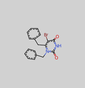 O=c1[nH]c(=O)n(Cc2ccccc2)c(Cc2ccccc2)c1Br